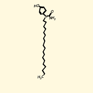 CCCCCCCCCCCCCCCCCCCN(C(N)=O)c1ccc(O)cc1